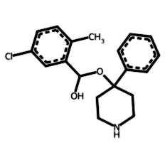 Cc1ccc(Cl)cc1C(O)OC1(c2ccccc2)CCNCC1